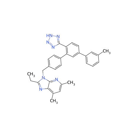 CCc1nc2c(C)cc(C)nc2n1Cc1ccc(-c2cc(-c3cccc(C)c3)ccc2-c2nn[nH]n2)cc1